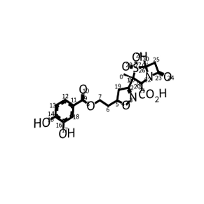 C[C@]1(C2=NOC(CCOC(=O)c3ccc(O)c(O)c3)C2)[C@H](C(=O)O)N2C(=O)C[C@H]2S1(=O)=O